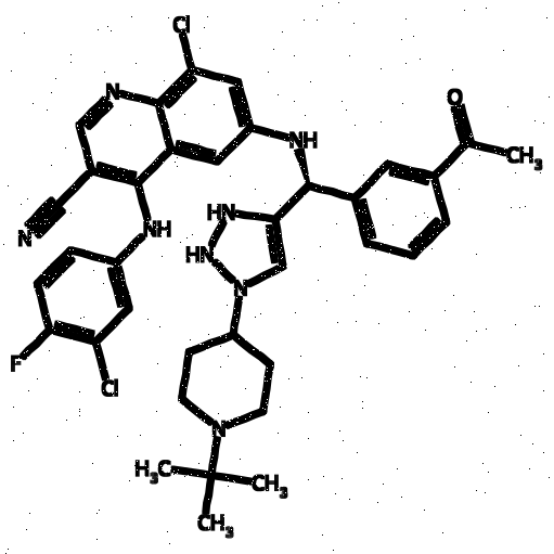 CC(=O)c1cccc([C@H](Nc2cc(Cl)c3ncc(C#N)c(Nc4ccc(F)c(Cl)c4)c3c2)C2=CN(C3CCN(C(C)(C)C)CC3)NN2)c1